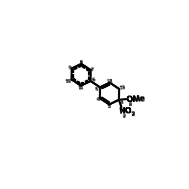 COC1([N+](=O)[O-])C=CC(c2ccccc2)=CC1